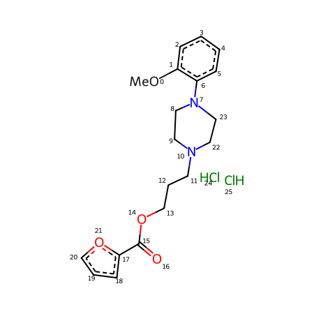 COc1ccccc1N1CCN(CCCOC(=O)c2ccco2)CC1.Cl.Cl